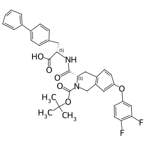 CC(C)(C)OC(=O)N1Cc2cc(Oc3ccc(F)c(F)c3)ccc2C[C@H]1C(=O)N[C@@H](Cc1ccc(-c2ccccc2)cc1)C(=O)O